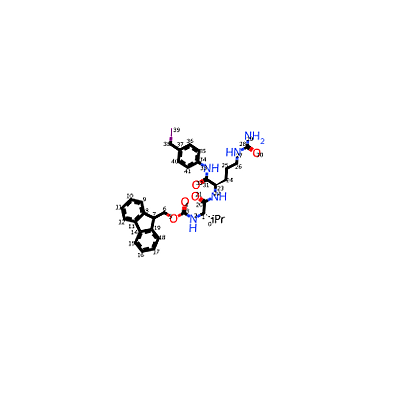 CC(C)[C@H](NC(=O)OCC1c2ccccc2-c2ccccc21)C(=O)N[C@H](CCCNC(N)=O)C(=O)Nc1ccc(CI)cc1